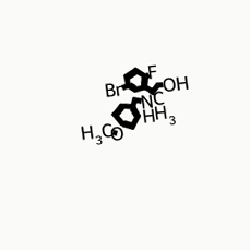 COc1ccc(CN[C@@](C)(CO)c2cc(Br)ccc2F)cc1